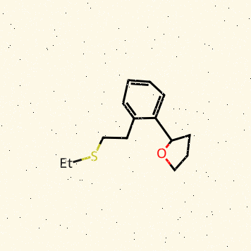 CCSCCc1ccccc1C1CCCO1